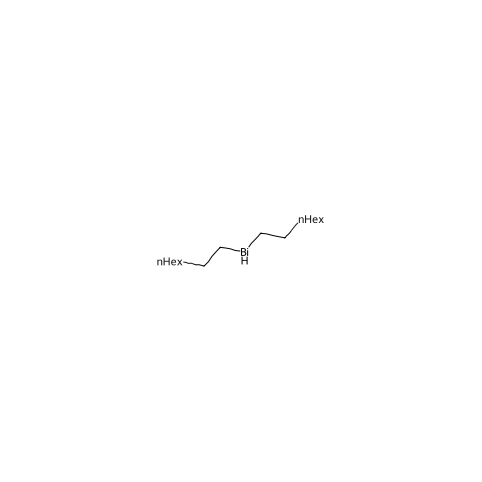 CCCCCCC[CH2][BiH][CH2]CCCCCCC